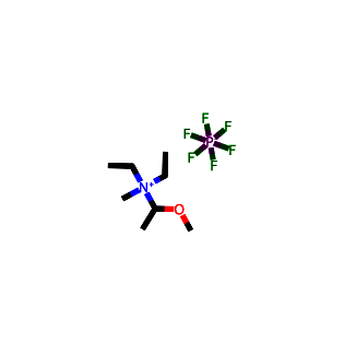 CC[N+](C)(CC)C(C)OC.F[P-](F)(F)(F)(F)F